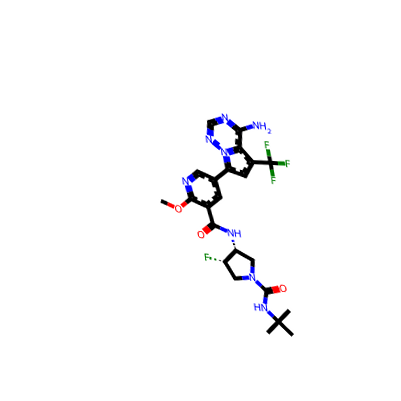 COc1ncc(-c2cc(C(F)(F)F)c3c(N)ncnn23)cc1C(=O)N[C@@H]1CN(C(=O)NC(C)(C)C)C[C@@H]1F